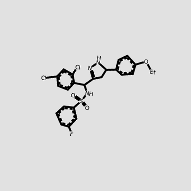 CCOc1ccc(C2CC(C(NS(=O)(=O)c3cccc(F)c3)c3ccc(Cl)cc3Cl)=NN2)cc1